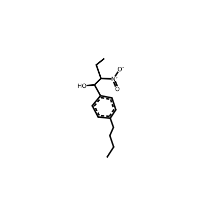 CCCCc1ccc(C(O)C(CC)[N+](=O)[O-])cc1